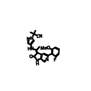 COc1cccc(F)c1-c1cc2c(cn1)NC(=O)/C2=C(/C)Nc1cnn(C(C)(C)C#N)c1